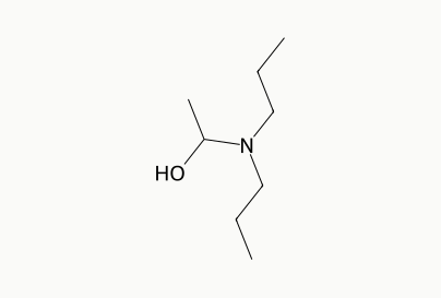 CCCN(CCC)C(C)O